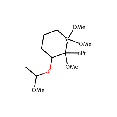 CCCC1(OC)C(OC(C)OC)CCC[Si]1(OC)OC